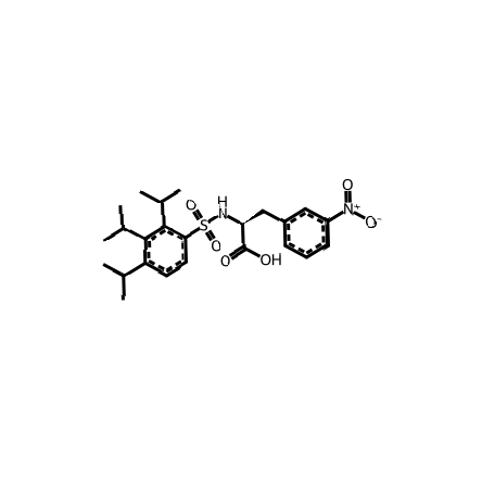 CC(C)c1ccc(S(=O)(=O)N[C@@H](Cc2cccc([N+](=O)[O-])c2)C(=O)O)c(C(C)C)c1C(C)C